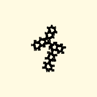 c1ccc2cc3c(cc2c1)c1cc2ccccc2cc1n3-c1nc(-c2ccc(-c3ccncc3)nc2)c2ccccc2n1